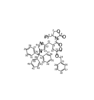 CC(C)C1COC(=O)N1C(=O)[C@@H](CC(=O)OCc1ccccc1)Cc1cn(C(c2ccccc2)(c2ccccc2)c2ccccc2)cn1